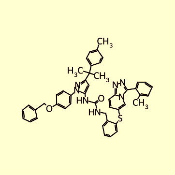 Cc1ccc(C(C)(C)c2cc(NC(=O)NCc3ccccc3Sc3ccc4nnc(-c5ccccc5C)n4c3)n(-c3ccc(OCc4ccccc4)cc3)n2)cc1